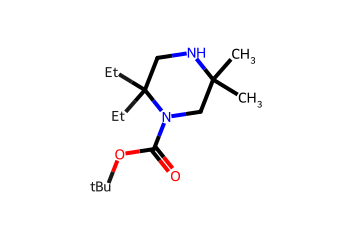 CCC1(CC)CNC(C)(C)CN1C(=O)OC(C)(C)C